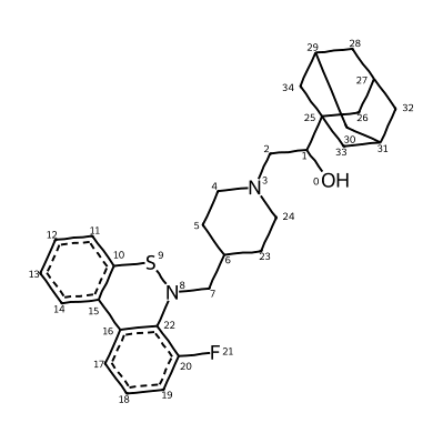 OC(CN1CCC(CN2Sc3ccccc3-c3cccc(F)c32)CC1)C12CC3CC(CC(C3)C1)C2